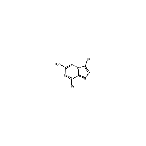 Cc1cn2c(C(C)C)cnc2c(C(C)C)n1